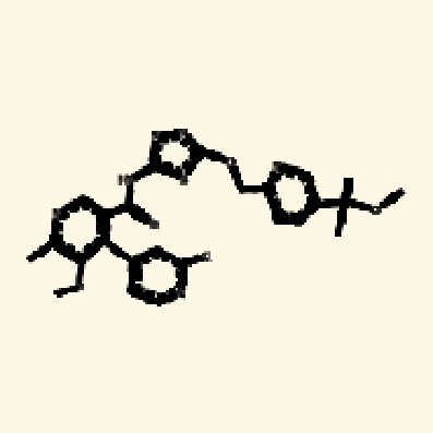 COc1c(C)ncc(C(=O)Nc2nnc(OCc3ccc(C(C)(C)OC)cn3)s2)c1-c1ccnc(Cl)c1